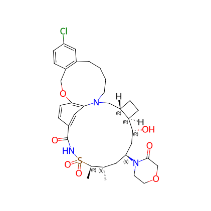 C[C@@H]1[C@@H](C)C[C@H](N2CCOCC2=O)C[C@@H](O)[C@@H]2CC[C@H]2CN2CCCCc3cc(Cl)ccc3COc3ccc(cc32)C(=O)NS1(=O)=O